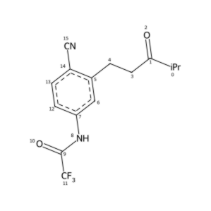 CC(C)C(=O)CCc1cc(NC(=O)C(F)(F)F)ccc1C#N